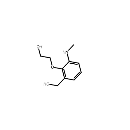 CNc1cccc(CO)c1OCCO